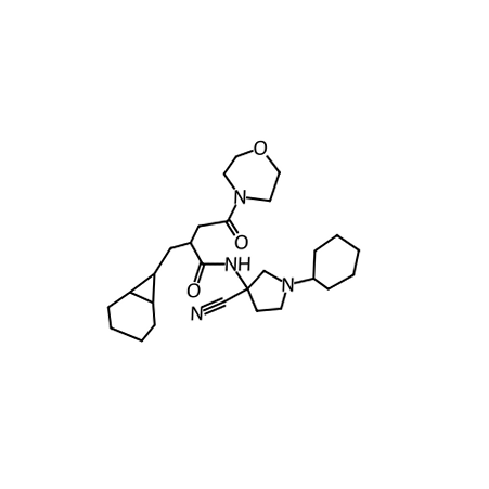 N#CC1(NC(=O)C(CC(=O)N2CCOCC2)CC2C3CCCCC32)CCN(C2CCCCC2)C1